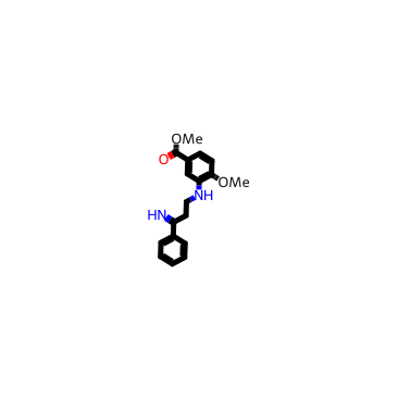 COC(=O)c1ccc(OC)c(NCCC(=N)c2ccccc2)c1